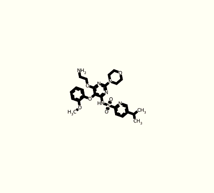 COc1ccccc1Oc1c(NS(=O)(=O)c2ccc(C(C)C)cn2)nc(N2CCOCC2)nc1OCCN